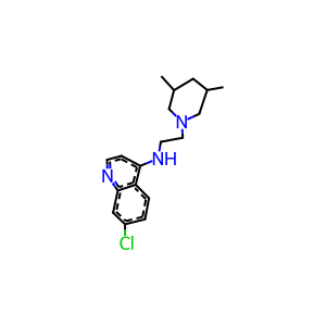 CC1CC(C)CN(CCNc2ccnc3cc(Cl)ccc23)C1